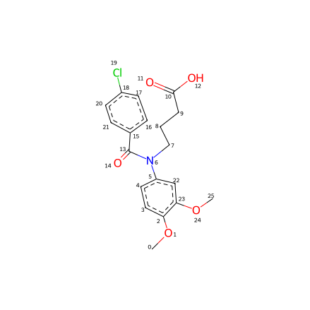 COc1ccc(N(CCCC(=O)O)C(=O)c2ccc(Cl)cc2)cc1OC